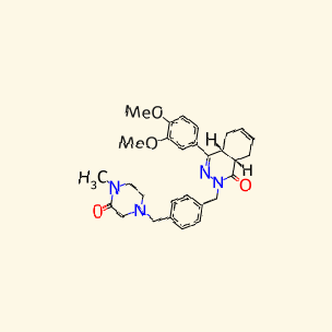 COc1ccc(C2=NN(Cc3ccc(CN4CCN(C)C(=O)C4)cc3)C(=O)[C@H]3CC=CC[C@@H]23)cc1OC